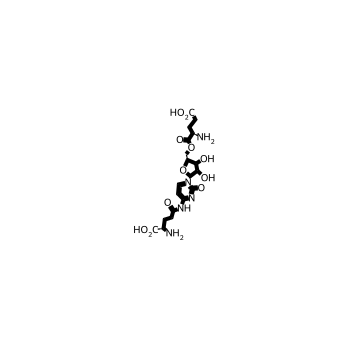 N[C@@H](CCC(=O)Nc1ccn([C@@H]2O[C@H](COC(=O)[C@@H](N)CCC(=O)O)C(O)C2O)c(=O)n1)C(=O)O